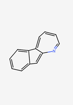 c1ccc2c3ccccc3cc-2nc1